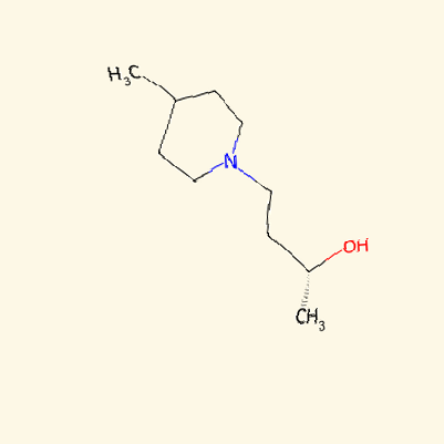 CC1CCN(CC[C@@H](C)O)CC1